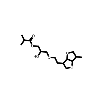 CC(C)C(=O)OCC(O)COCCC1COC2C(C)COC12